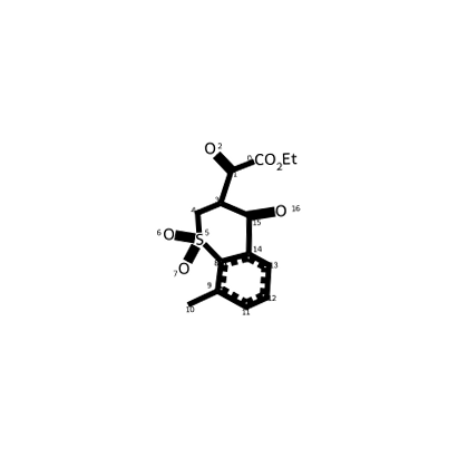 CCOC(=O)C(=O)C1CS(=O)(=O)c2c(C)cccc2C1=O